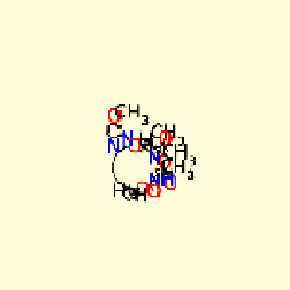 CC[C@@H]1[C@@H]2CN(C(=O)[C@H](C3(C)COC3)NC(=O)O[C@@H]3CCC[C@H]3CCCCCc3nc4ccc(OC)cc4nc3O2)[C@@H]1C(C)=O